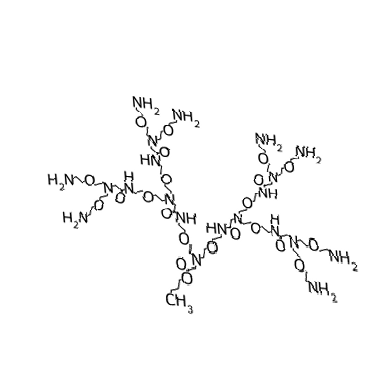 CCCCOC(=O)CN(CCOCCNC(=O)CN(CCOCCNC(=O)CN(CCOCCN)CCOCCN)CCOCCNC(=O)CN(CCOCCN)CCOCCN)CCOCCNC(=O)CN(CCOCCNC(=O)CN(CCOCCN)CCOCCN)CCOCCNC(=O)CN(CCOCCN)CCOCCN